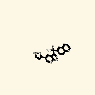 CC(F)(c1ccc2ncccc2c1)c1noc2ncc(-c3cc[nH]n3)cc12